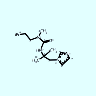 CC(C)CCN(C)C(=O)NC(C)(C)Cn1ccnc1